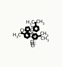 CCC1=CC=C[C]1([Ti+3])[Si](c1cccc(C(C)C)c1)(c1cccc(C(C)C)c1)c1cccc(C(C)C)c1.[Cl-].[Cl-].[Cl-]